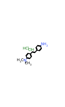 CN(C)c1ccc(C=Cc2ccc(N)cc2)cc1.Cl.Cl